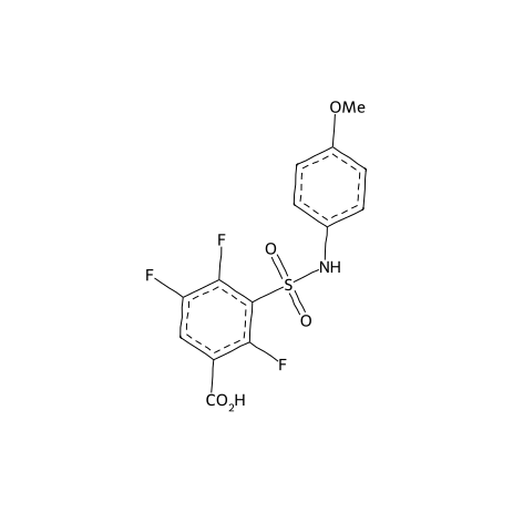 COc1ccc(NS(=O)(=O)c2c(F)c(F)cc(C(=O)O)c2F)cc1